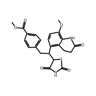 COC(=O)c1ccc(CC(c2ccc(OC)c3c2CCC(=O)N3)C2SC(=O)NC2=O)cc1